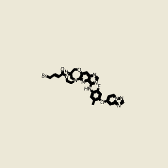 Cc1cc(Nc2ncnc3cc4c(nc23)N2CCN(C(=O)/C=C/CBr)[C@H](CO4)C2)c(F)cc1Oc1ccn2ncnc2c1